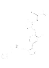 Cc1nc(-c2nnn(C)c2COC(=O)N(C)CC2CCC2)ccc1O[C@H]1CCC[C@H]1CC(=N)C(=O)O